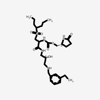 CCCC(CCC)S(=O)(=O)CC(NC(=O)OC[C@H]1CCC(=O)N1)C(=O)NC[C@H](O)CNCc1cccc(CC)c1